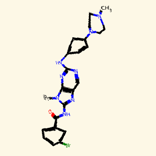 CC(C)n1c(NC(=O)c2cccc(Br)c2)nc2cnc(Nc3ccc(N4CCN(C)CC4)cc3)nc21